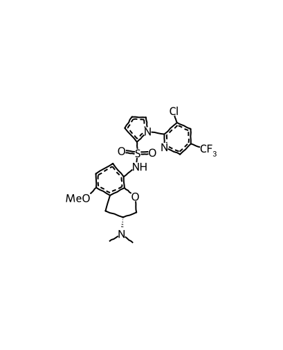 COc1ccc(NS(=O)(=O)c2cccn2-c2ncc(C(F)(F)F)cc2Cl)c2c1C[C@@H](N(C)C)CO2